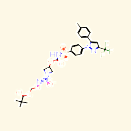 Cc1ccc(-c2cc(C(F)(F)F)nn2-c2ccc(S(=O)(=O)NC(=O)OC3CN([N+]([O-])=NOCOC(=O)C(C)(C)C)C3)cc2)cc1